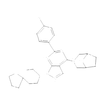 Nc1ccc(-c2nc(N3CC4CCC(C3)O4)c3cnn([C@H]4CC[C@@]5(CCCO5)CC4)c3n2)cc1